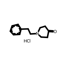 Cl.O=C1CCN(CCc2ccccc2)CC1